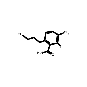 NC(=O)c1c([CH]CCO)ccc(C(F)(F)F)c1F